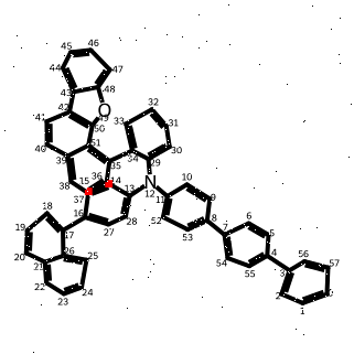 c1ccc(-c2ccc(-c3ccc(N(c4ccc(-c5cccc6ccccc56)cc4)c4ccccc4-c4cccc5ccc6c7ccccc7oc6c45)cc3)cc2)cc1